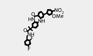 COc1cc(-c2ccc3c(c2)Nc2ccc(C(C)(C)C(=O)NCc4ccc(F)cc4F)cc2NC3=O)ccc1[N+](=O)[O-]